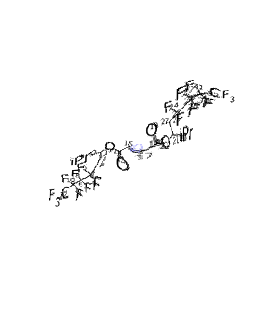 CC(C)C(CC(F)(F)C(F)(F)C(F)(F)C(F)(F)F)OC(=O)/C=C/C(=O)OC(CC(F)(F)C(F)(F)C(F)(F)C(F)(F)F)C(C)C